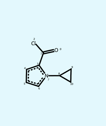 O=C(Cl)c1cccn1C1CC1